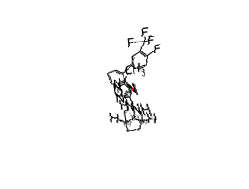 Cc1noc(N2C[C@H]3CC[C@@H](C2)[C@@H]3Nc2nc3c(-c4ccc(F)c(C(F)(F)F)c4)cccn3n2)n1